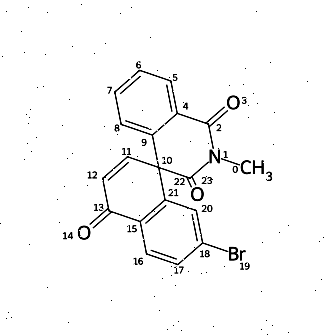 CN1C(=O)c2ccccc2C2(C=CC(=O)c3ccc(Br)cc32)C1=O